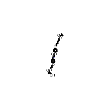 C=C(C)C(=O)OCCCCCCOc1ccc(OC(=O)/C=C/c2ccc(OCCCOC(=O)C(=C)CO)cc2)cc1